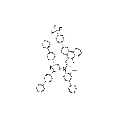 CCc1cc(-c2ccccc2)ccc1N(/C(C)=C/c1c(C)c2ccccc2c2cc(-c3ccc(C(F)(F)F)cc3)ccc12)c1cc(-c2ccc(-c3ccccc3)cc2)nc(-c2ccc(-c3ccccc3)cc2)c1